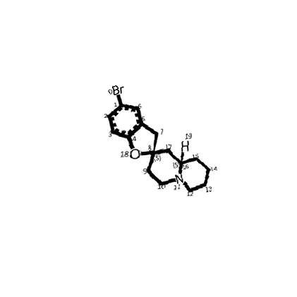 Brc1ccc2c(c1)C[C@@]1(CCN3CCCC[C@H]3C1)O2